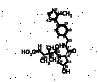 Cc1ncsc1-c1ccc(CNC(=O)[C@@H]2C[C@@H](O)CN2C(=O)C(C)(C)[C@H](C)NC(=O)O)cc1